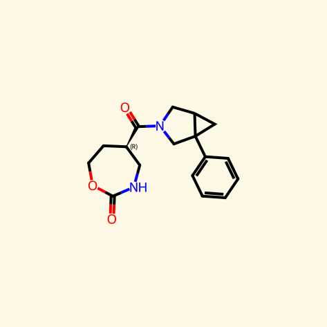 O=C1NC[C@H](C(=O)N2CC3CC3(c3ccccc3)C2)CCO1